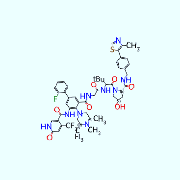 Cc1ncsc1-c1ccc(CNC(=O)[C@@H]2C[C@@H](O)CN2C(=O)C(NC(=O)CNC(=O)c2cc(-c3ccccc3F)cc(NC(=O)c3c[nH]c(=O)cc3C(F)(F)F)c2N2C[C@@H](C)N(C)[C@@H](C)C2)C(C)(C)C)cc1